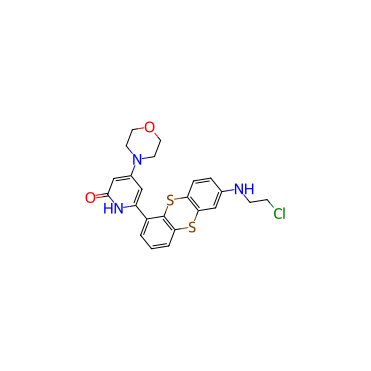 O=c1cc(N2CCOCC2)cc(-c2cccc3c2Sc2ccc(NCCCl)cc2S3)[nH]1